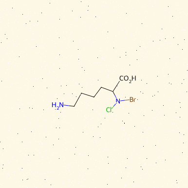 NCCCCC(C(=O)O)N(Cl)Br